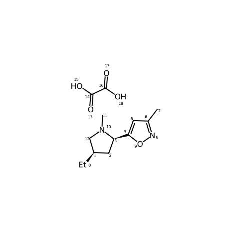 CC[C@@H]1C[C@H](c2cc(C)no2)N(C)C1.O=C(O)C(=O)O